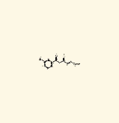 COC=CC(=O)CC(=O)c1cccc(Br)c1